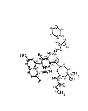 C#Cc1c(F)ccc2cc(O)cc(-c3ncc4c(N5CC[C@](C)(O)C[C@@H](NC(=O)C=C)C5)nc(OCC5(CN6CCOCC6)CC5)nc4c3F)c12